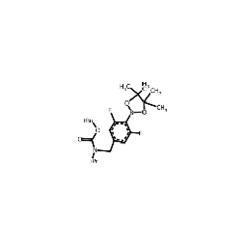 CC(C)N(Cc1cc(F)c(B2OC(C)(C)C(C)(C)O2)c(F)c1)C(=O)OC(C)(C)C